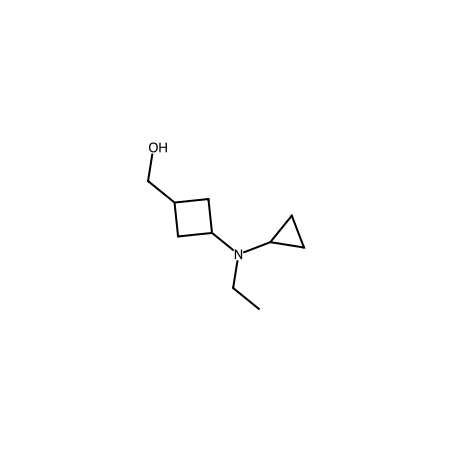 CCN(C1CC1)C1CC(CO)C1